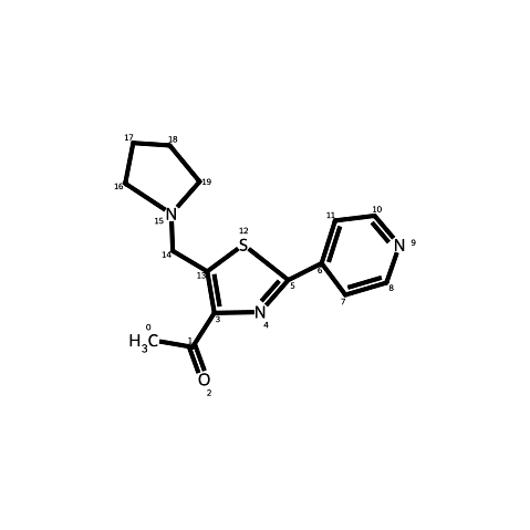 CC(=O)c1nc(-c2ccncc2)sc1CN1CCCC1